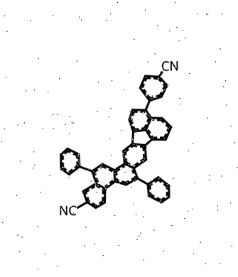 N#Cc1ccc(-c2ccc3c4c(cccc24)-c2cc4c(-c5ccccc5)cc5c6ccc(C#N)cc6c(-c6ccccc6)cc5c4cc2-3)cc1